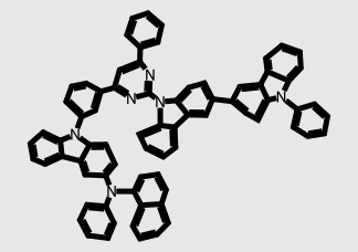 c1ccc(-c2cc(-c3cccc(-n4c5ccccc5c5cc(N(c6ccccc6)c6cccc7ccccc67)ccc54)c3)nc(-n3c4ccccc4c4cc(-c5ccc6c(c5)c5ccccc5n6-c5ccccc5)ccc43)n2)cc1